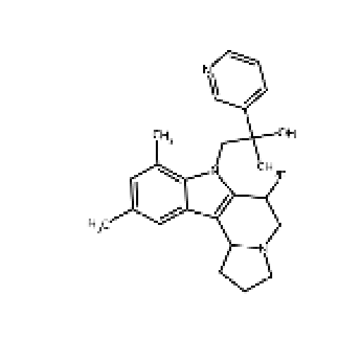 Cc1cc(C)c2c(c1)c1c(n2CC(C)(O)c2cccnc2)C(F)CN2CCCC12